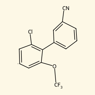 N#Cc1cccc(-c2c(Cl)c[c]cc2OC(F)(F)F)c1